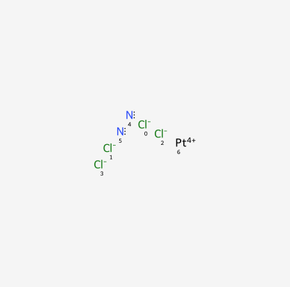 [Cl-].[Cl-].[Cl-].[Cl-].[N].[N].[Pt+4]